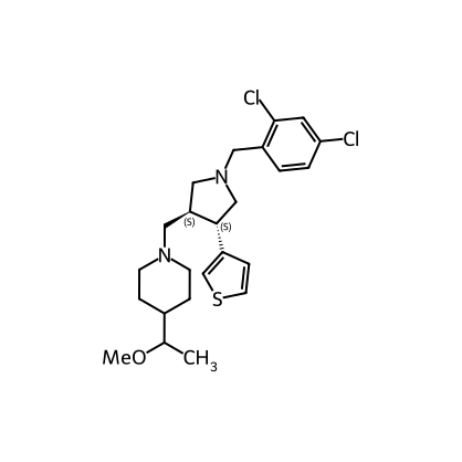 COC(C)C1CCN(C[C@H]2CN(Cc3ccc(Cl)cc3Cl)C[C@@H]2c2ccsc2)CC1